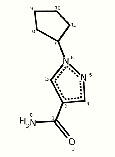 NC(=O)c1cnn(C2CCCC2)c1